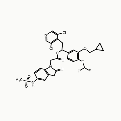 CS(=O)(=O)Nc1ccc2c(c1)CC(=O)N2CC(=O)OC(Cc1c(Cl)cncc1Cl)c1ccc(OC(F)F)c(OCC2CC2)c1